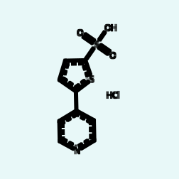 Cl.O=S(=O)(O)c1ccc(-c2ccncc2)s1